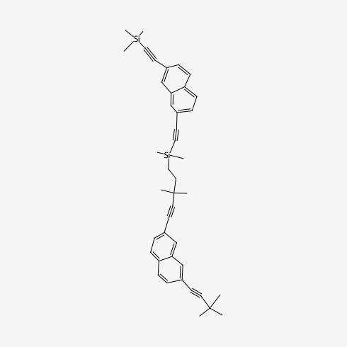 CC(C)(C)C#Cc1ccc2ccc(C#CC(C)(C)CC[Si](C)(C)C#Cc3ccc4ccc(C#C[Si](C)(C)C)cc4c3)cc2c1